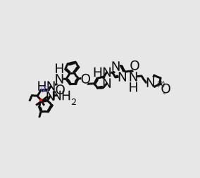 CCC(/C=C(/NC(=O)Nc1ccc(OCc2ccnc(Nc3cnc(C(=O)NCCN4CC[C@@H](OC)C4)cn3)c2)c2ccccc12)N(N)c1ccc(C)cc1)C(C)(C)C